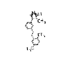 Cc1[nH]nnc1-c1cccc(CCc2cc(C(F)(F)F)ccc2C(F)(F)F)c1